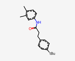 Cc1ccc(NC(=O)CCc2ccc(C(C)(C)C)cc2)cc1C